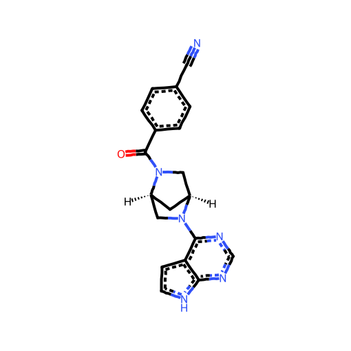 N#Cc1ccc(C(=O)N2C[C@@H]3C[C@H]2CN3c2ncnc3[nH]ccc23)cc1